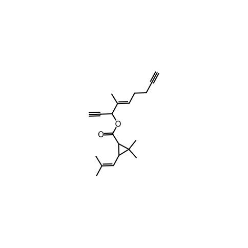 C#CCCC=C(C)C(C#C)OC(=O)C1C(C=C(C)C)C1(C)C